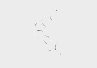 COc1ccc2nc(-c3cc(NC(=O)C4CC4)ccc3Cl)cn2n1